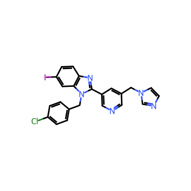 Clc1ccc(Cn2c(-c3cncc(Cn4ccnc4)c3)nc3ccc(I)cc32)cc1